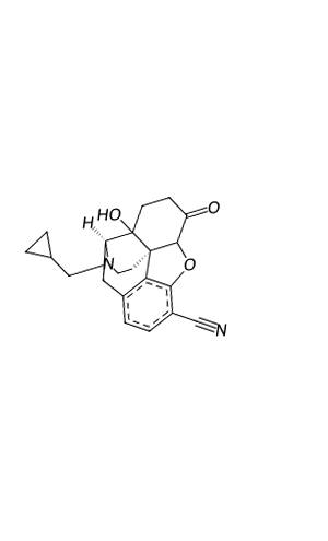 N#Cc1ccc2c3c1OC1C(=O)CCC4(O)[C@H](C2)N(CC2CC2)CC[C@@]314